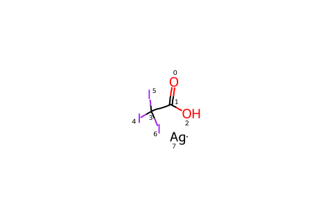 O=C(O)C(I)(I)I.[Ag]